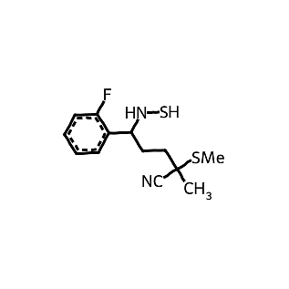 CSC(C)(C#N)CCC(NS)c1ccccc1F